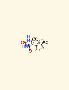 CC(=O)C1CCCC(c2c(C(=O)O)[nH]c(=O)[nH]c2=O)C1